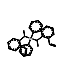 C=Cc1ccccc1[CH](C)[Sn]([c]1ccccc1)([c]1ccccc1)[CH](C)c1ccccc1C=C